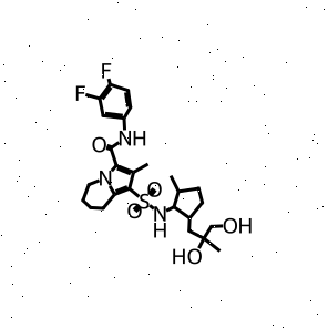 Cc1c(S(=O)(=O)NC2C(C)CCC2CC(C)(O)CO)c2n(c1C(=O)Nc1ccc(F)c(F)c1)CCCC2